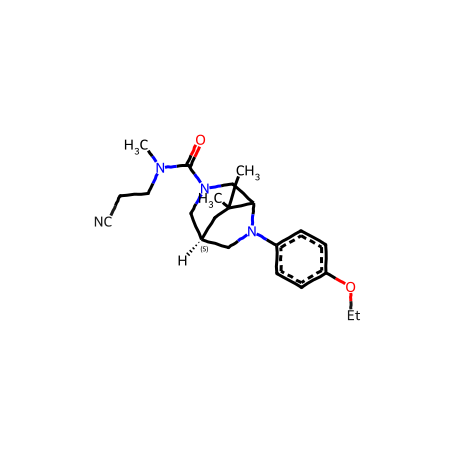 CCOc1ccc(N2C[C@H]3CN(C(=O)N(C)CCC#N)CC2C(C)(C)C3)cc1